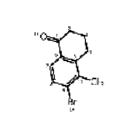 O=C1CCCc2c1ccc(Br)c2Cl